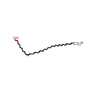 O=C(O)CCCCCCCCCCCCCCCCCCCCC/C=C\CCCCCCCCO